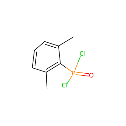 Cc1cccc(C)c1P(=O)(Cl)Cl